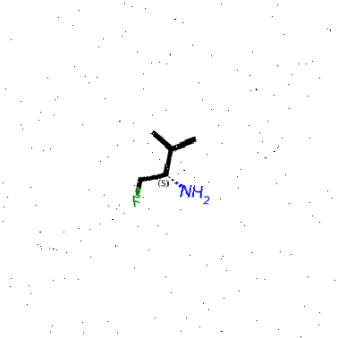 CC(C)[C@H](N)CF